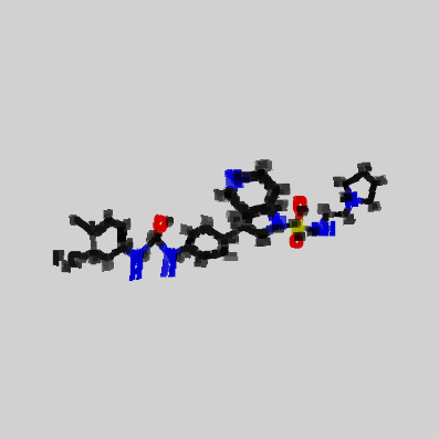 CC1=CC=C(NC(=O)Nc2ccc(-c3cn(S(=O)(=O)NCCN4CCCC4)c4ccncc34)cc2)CC1C(F)(F)F